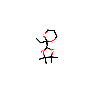 CCC1(B2OC(C)(C)C(C)(C)O2)OCCCO1